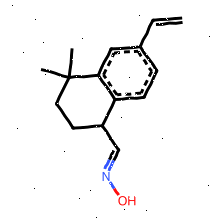 C=Cc1ccc2c(c1)C(C)(C)CCC2C=NO